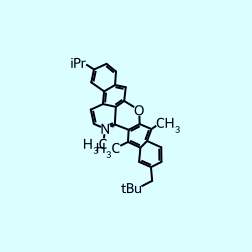 Cc1c2c(c(C)c3cc(CC(C)(C)C)ccc13)-c1c3c(cc4ccc(C(C)C)cc4c3cc[n+]1C)O2